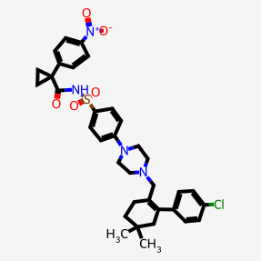 CC1(C)CCC(CN2CCN(c3ccc(S(=O)(=O)NC(=O)C4(c5ccc([N+](=O)[O-])cc5)CC4)cc3)CC2)=C(c2ccc(Cl)cc2)C1